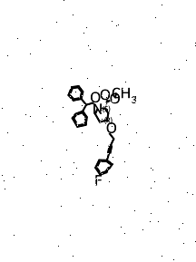 COC(=O)[C@@H]1C[C@H](OCCC#Cc2ccc(F)cc2)CCN1C(=O)C(c1ccccc1)c1ccccc1